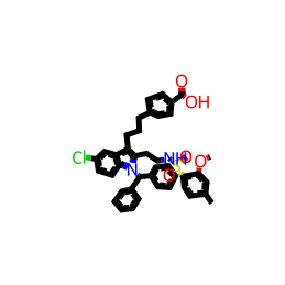 COc1cc(C)ccc1S(=O)(=O)NCCc1c(CCCc2ccc(C(=O)O)cc2)c2cc(Cl)ccc2n1C(c1ccccc1)c1ccccc1